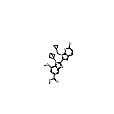 COC(=O)c1cc(OC)c2c(c1)nc(-c1cc3ccc(Br)nc3n1CC1CC1)n2C12CC(C1)C2